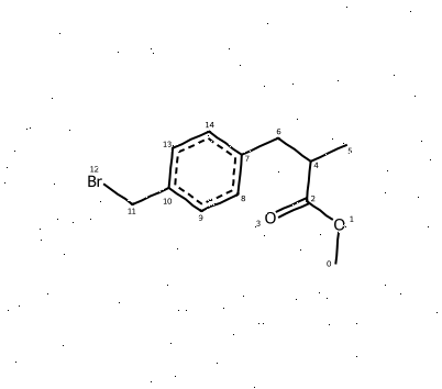 COC(=O)C(C)Cc1ccc(CBr)cc1